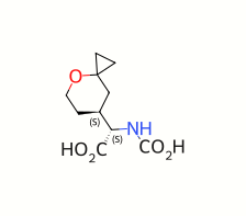 O=C(O)N[C@H](C(=O)O)[C@H]1CCOC2(CC2)C1